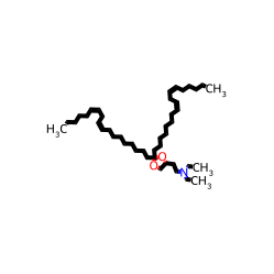 CCCCC/C=C\C/C=C\CCCCCCCCC1(CCCCCCC/C=C\C/C=C\CCCCC)OCC(CCN(CC)CC)O1